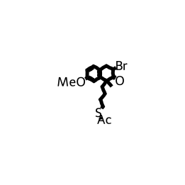 COc1ccc2c(c1)C(C)(CCCCSC(C)=O)C(=O)C(Br)C2